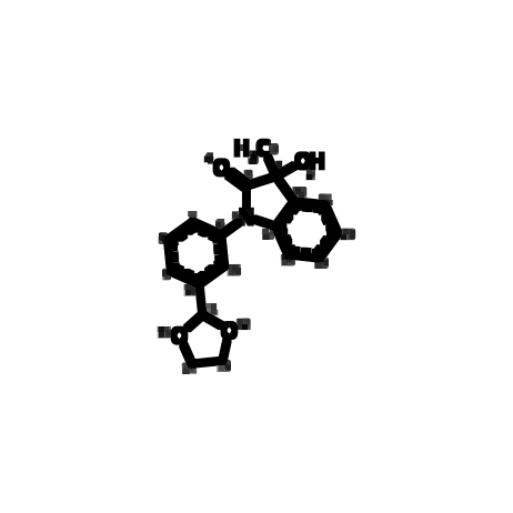 CC1(O)C(=O)N(c2cccc(C3OCCO3)c2)c2ccccc21